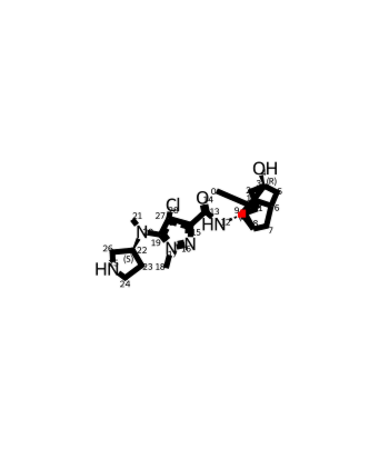 CC1C[C@]2(O)CC3CC(CC32)[C@@H]1NC(=O)c1nn(C)c(N(C)[C@H]2CCNC2)c1Cl